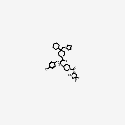 O=C([C@H]1CC(F)(F)CN1)N1CCC(N[C@H](Cc2ccc(Cl)cc2)C(=O)N2CCC(Cn3cncn3)(C3CCCCC3)CC2)CC1